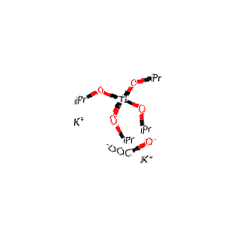 CC(C)[O][Ti]([O]C(C)C)([O]C(C)C)[O]C(C)C.O=C([O-])[O-].[K+].[K+]